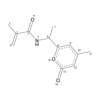 C=C(C)C(=O)NC(C)c1cc(C)cc(=O)o1